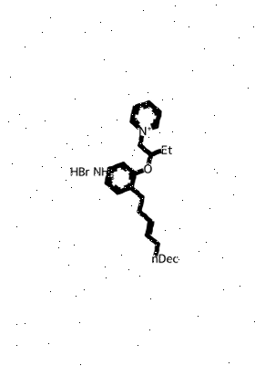 Br.CCCCCCCCCCCC=CCCc1ccccc1OC(CC)C[n+]1ccccc1.N